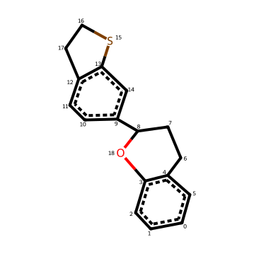 c1ccc2c(c1)CCC(c1ccc3c(c1)SCC3)O2